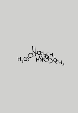 COc1ccc(C=NNC(=O)Cc2c(C)[nH]c3ccc(OC)cc23)c(OC)c1